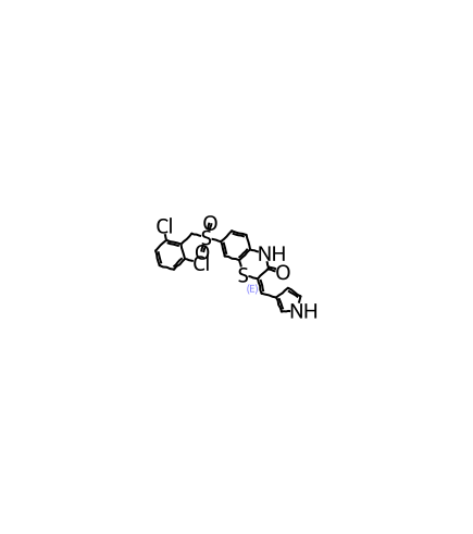 O=C1Nc2ccc(S(=O)(=O)Cc3c(Cl)cccc3Cl)cc2S/C1=C/c1cc[nH]c1